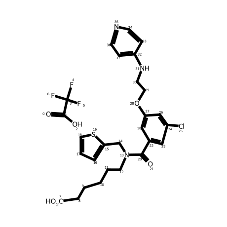 O=C(O)C(F)(F)F.O=C(O)CCCCCN(Cc1cccs1)C(=O)c1cc(Cl)cc(OCCNc2ccncc2)c1